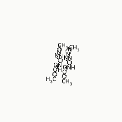 Cc1ccc(OCC(=O)Nc2ccc3nc(N4CCCN(C)CC4)ncc3c2)cc1.Cc1ccc(OCC(=O)Nc2ccc3nc(N4CCN(C)CC4)ncc3c2)cc1